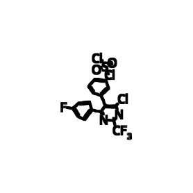 Fc1ccc(-c2nc(C(F)(F)F)nc(Cl)c2-c2ccccc2)cc1.O=S(=O)(Cl)Cl